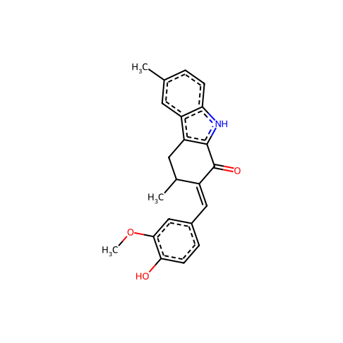 COc1cc(/C=C2/C(=O)c3[nH]c4ccc(C)cc4c3CC2C)ccc1O